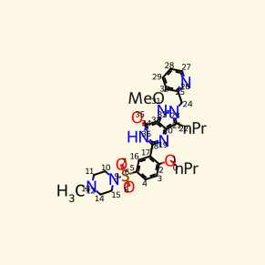 CCCOc1ccc(S(=O)(=O)N2CCN(C)CC2)cc1-c1nc2c(CCC)n(Cc3ncccc3OC)nc2c(=O)[nH]1